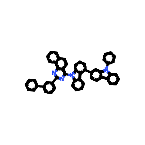 c1ccc(-c2cccc(-c3nc(-n4c5ccccc5c5c(-c6ccc7c8ccccc8n(-c8ccccc8)c7c6)cccc54)c4ccc5ccccc5c4n3)c2)cc1